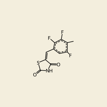 Cc1c(F)cc(C=C2SC(=O)NC2=O)c(F)c1F